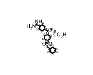 CC(=O)O.N=C(N)c1ccc(C(=O)N2CCN(S(=O)(=O)Cc3ccccc3)CC2)cc1